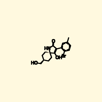 Cc1ccc(Br)c(C2=C(O)[C@]3(CC[C@H](CO)CC3)NC2=O)c1